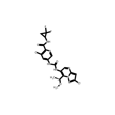 CO[C@@H](C)c1c(NC(=O)Nc2cnc(C(=O)NC3CC3(F)F)c(Cl)c2)cnc2cc(Cl)nn12